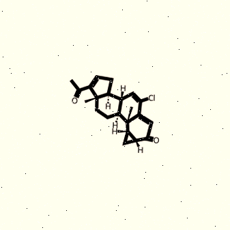 CC(=O)C1=CC[C@H]2[C@@H]3C=C(Cl)C4=CC(=O)[C@@H]5C[C@@H]5[C@]4(C)[C@H]3CC[C@]12C